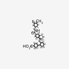 Cc1ccc(CNC(=O)c2ccc3c(c2)CCCN3Cc2ccccc2-c2ccc(C(=O)O)cc2)cc1F